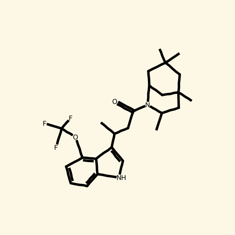 CC(CC(=O)N1C(C)CC2(C)CC1CC(C)(C)C2)c1c[nH]c2cccc(OC(F)(F)F)c12